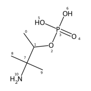 CC(OP(=O)(O)O)C(C)(C)N